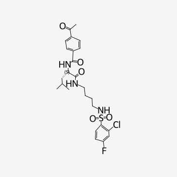 CC(=O)c1ccc(C(=O)N[C@@H](CC(C)C)C(=O)NCCCCNS(=O)(=O)c2ccc(F)cc2Cl)cc1